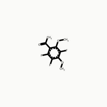 COc1c(F)c(F)c(C(C)=O)c(OC)c1F